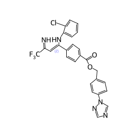 N=C(/C=C(\Nc1ccccc1Cl)c1ccc(C(=O)OCc2ccc(-n3cncn3)cc2)cc1)C(F)(F)F